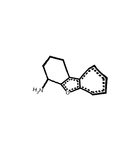 NC1CCCc2c1oc1ccccc21